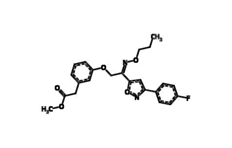 CCCON=C(COc1cccc(CC(=O)OC)c1)c1cc(-c2ccc(F)cc2)no1